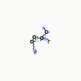 CCC(C)CNCc1cc(C)c(CCc2cccc(-c3cccc(CCCCN4CCC(C)C4)c3C)c2Cl)cc1CCc1cncc(C#N)c1